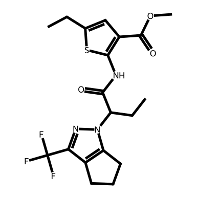 CCc1cc(C(=O)OC)c(NC(=O)C(CC)n2nc(C(F)(F)F)c3c2CCC3)s1